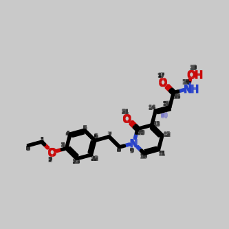 CCOc1ccc(CCn2cccc(/C=C/C(=O)NO)c2=O)cc1